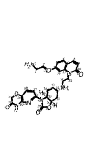 NCCOc1ccc2ccc(=O)n(CCN[C@H]3CC[C@H]4[C@@H](C3)OC(=O)N4c3ccc4c(n3)NC(=O)CO4)c2c1